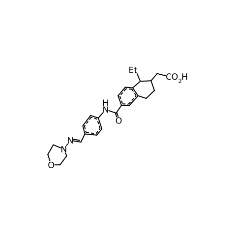 CCC1c2ccc(C(=O)Nc3ccc(C=NN4CCOCC4)cc3)cc2CCC1CC(=O)O